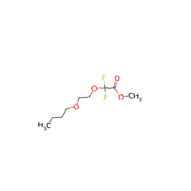 CCCCOCCOC(F)(F)C(=O)OC